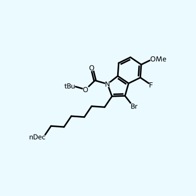 CCCCCCCCCCCCCCCCc1c(Br)c2c(F)c(OC)ccc2n1C(=O)OC(C)(C)C